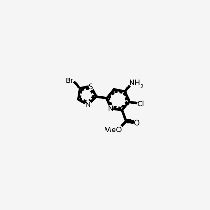 COC(=O)c1nc(-c2ncc(Br)s2)cc(N)c1Cl